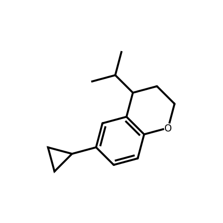 CC(C)C1CCOc2ccc(C3CC3)cc21